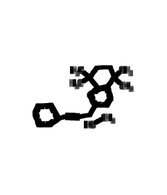 CC1(C)CCC(C)(C)c2cc(CC#Cc3ccccc3)ccc21.CO